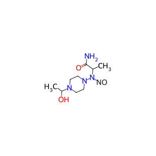 CC(O)N1CCN(N(N=O)C(C)C(N)=O)CC1